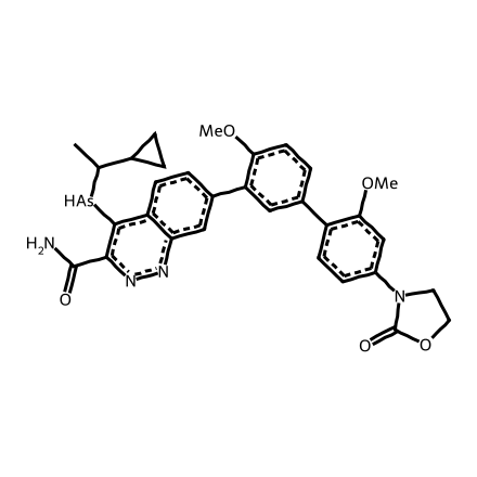 COc1cc(N2CCOC2=O)ccc1-c1ccc(OC)c(-c2ccc3c([AsH]C(C)C4CC4)c(C(N)=O)nnc3c2)c1